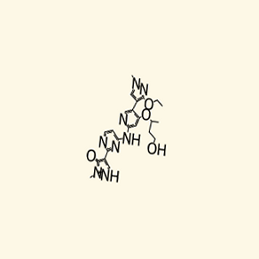 CCOc1nn(C)cc1-c1cnc(Nc2ccnc(-c3c[nH]n(C)c3=O)n2)cc1OC(C)CCO